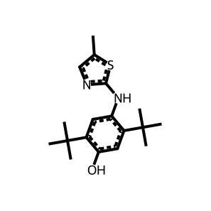 Cc1cnc(Nc2cc(C(C)(C)C)c(O)cc2C(C)(C)C)s1